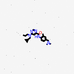 CCCN(CC1CC1)c1cc(C(=O)Nc2ccc(CN(C)C)cc2C)ncn1